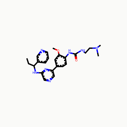 CCC(Nc1cncc(-c2ccc(NC(=O)NCCN(C)C)c(OC)c2)n1)c1cccnc1